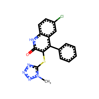 Cn1nnnc1Sc1c(-c2ccccc2)c2cc(Cl)ccc2[nH]c1=O